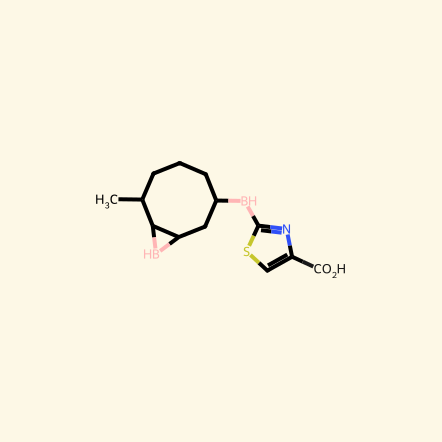 CC1CCCC(Bc2nc(C(=O)O)cs2)CC2BC12